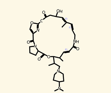 CC1=C\C(O)CC(=O)Cc2nc(co2)C(=O)N2CCCC2C(=O)OC(C(C)CN2CCC(N(C)C)CC2)C(C)/C=C/C(=O)NC\C=C\1